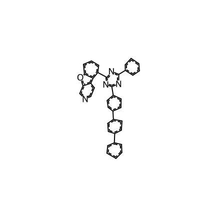 c1ccc(-c2ccc(-c3ccc(-c4nc(-c5ccccc5)nc(-c5cccc6oc7cnccc7c56)n4)cc3)cc2)cc1